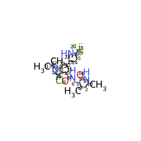 Cc1cc(C)c(CNC(=O)c2cc(C3=CC=C(C(F)(F)F)NC3)cc3c2c(Cl)cn3C(C)C)c(=O)[nH]1